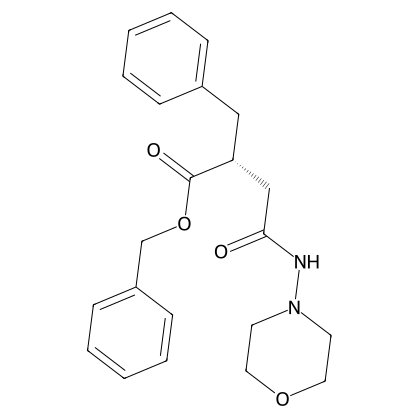 O=C(C[C@@H](Cc1ccccc1)C(=O)OCc1ccccc1)NN1CCOCC1